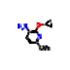 COc1ccc(N)c(OC2CC2)n1